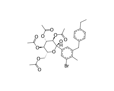 CCc1ccc(Cc2cc([C@]3(O)O[C@H](COC(C)=O)[C@@H](OC(C)=O)[C@H](OC(C)=O)[C@H]3OC(C)=O)cc(Br)c2C)cc1